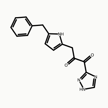 O=C(Cc1ccc(Cc2ccccc2)[nH]1)C(=O)c1nc[nH]n1